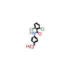 O=C(Nc1ccc(CO)cc1)c1c(Cl)cccc1Cl